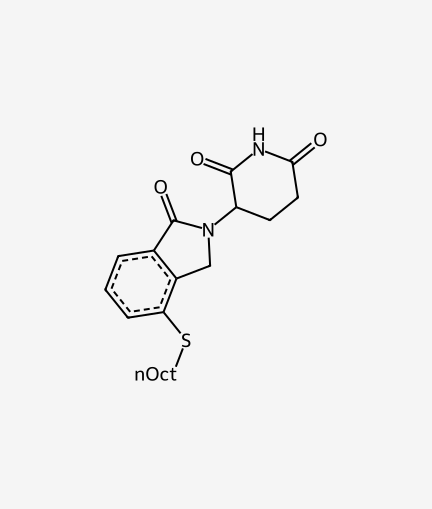 CCCCCCCCSc1cccc2c1CN(C1CCC(=O)NC1=O)C2=O